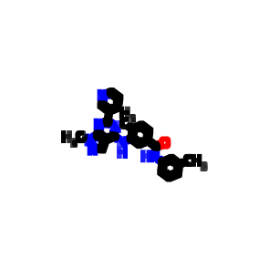 Cc1cccc(NC(=O)c2ccc(C)c(Nc3nc(-c4cccnc4)nc4c3cnn4C)c2)c1